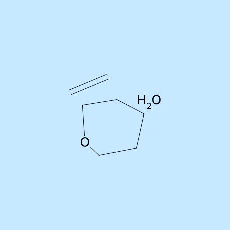 C1CCOCC1.C=C.O